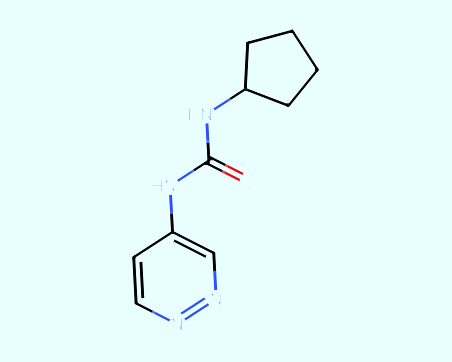 O=C(Nc1ccnnc1)NC1CCCC1